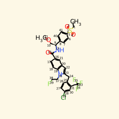 CCS(=O)(=O)c1ccc([C@H](COC)NC(=O)c2ccc3c(c2)cc(Cc2ccc(Cl)cc2C(F)(F)F)n3CCF)cc1